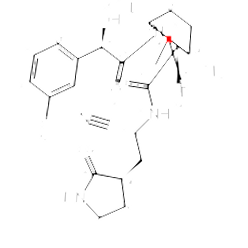 N#C[C@@H](C[C@H]1CCNC1=O)NC(=O)[C@H]1[C@@H]2CC[C@@H](CC2(F)F)N1C(=O)[C@H](O)c1cccc(Cl)c1